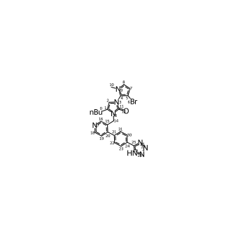 CCCCc1cn(-c2c(Br)ccn2C)c(=O)n1Cc1cnccc1-c1ccc(-c2nnn[nH]2)cc1